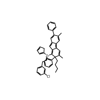 CCCCC1(c2ccccc2)C(C)=CC2=c3cc(C)c(-c4ccccc4)cc3=CC2=[C]1[Zr](=[CH]Cc1cccc(Cl)c1)[C]1=CC=CC1